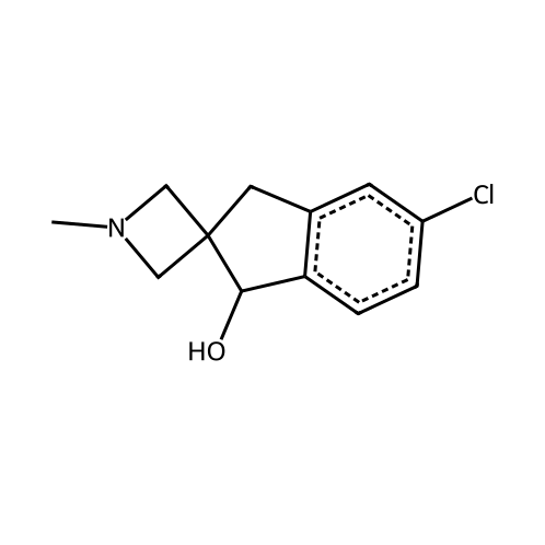 CN1CC2(Cc3cc(Cl)ccc3C2O)C1